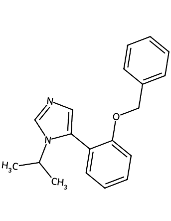 CC(C)n1cncc1-c1ccccc1OCc1ccccc1